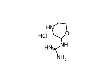 Cl.N=C(N)NC1CNCCO1